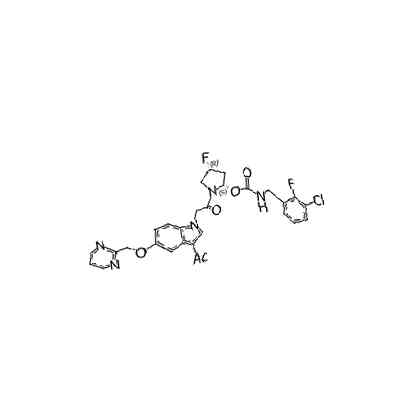 CC(=O)c1cn(CC(=O)N2C[C@H](F)C[C@@H]2OC(=O)NCc2cccc(Cl)c2F)c2ccc(OCc3ncccn3)cc12